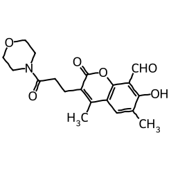 Cc1cc2c(C)c(CCC(=O)N3CCOCC3)c(=O)oc2c(C=O)c1O